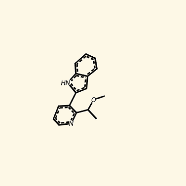 COC(C)c1ncccc1-c1cc2ccccc2[nH]1